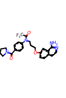 Nc1nccc2ccc(OCCCN(C(=O)C(F)(F)F)c3ccc(C(=O)N4CCCC4)cc3)cc12